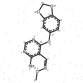 CO/N=C\c1c(N)ncnc1Oc1ccc2c(c1)OCO2